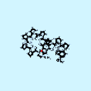 CN1CCN(C(=O)C2CCCN2C(=O)C2CCCN2C(=O)C2CCCN2C(=O)C2CCCN2C(=O)C2CCCN2C(=O)C2CCCN2C(=O)C2CCCN2C(=O)C2CCCN2C(=O)C2CCCN2C(=O)C2CCCN2c2ccc([N+](=O)[O-])c3nonc23)CC1